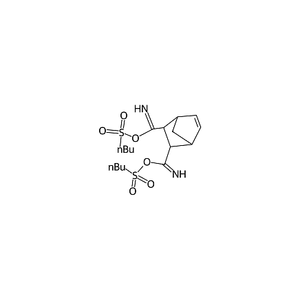 CCCCS(=O)(=O)OC(=N)C1C2C=CC(C2)C1C(=N)OS(=O)(=O)CCCC